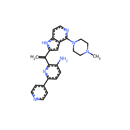 C=C(c1cc2c(N3CCN(C)CC3)nccc2[nH]1)c1nc(-c2ccncc2)ccc1N